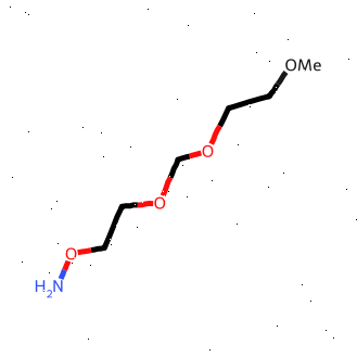 COCCOCOCCON